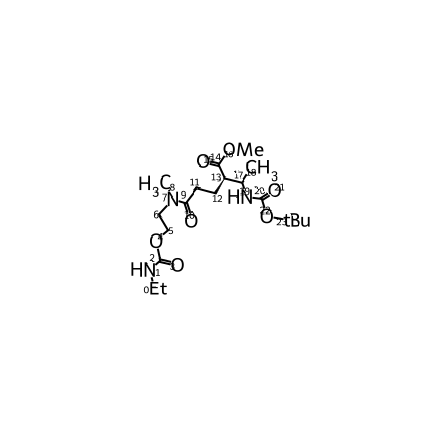 CCNC(=O)OCCN(C)C(=O)CC[C@@H](C(=O)OC)C(C)NC(=O)OC(C)(C)C